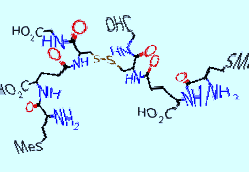 CSCCC(N)C(=O)NC(CCC(=O)NC(CSSCC(NC(=O)CCC(NC(=O)C(N)CCSC)C(=O)O)C(=O)NCC(=O)O)C(=O)NCC=O)C(=O)O